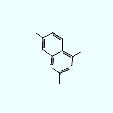 Cc1nc(N)c2ccc(C(=O)O)cc2n1